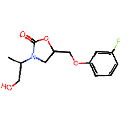 CC(CO)N1CC(COc2cccc(F)c2)OC1=O